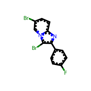 Fc1ccc(-c2nc3ccc(Br)cn3c2Br)cc1